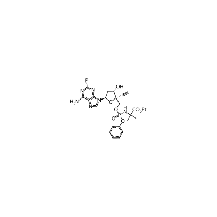 C#C[C@]1(COP(=O)(NC(C)(C)C(=O)OCC)Oc2ccccc2)O[C@@H](n2cnc3c(N)nc(F)nc32)C[C@@H]1O